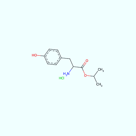 CC(C)OC(=O)C(N)Cc1ccc(O)cc1.Cl